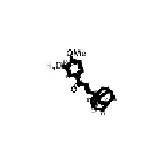 COc1ccc(C(=O)C=CC23CC4CC(CC(C4)C2)C3)cc1C